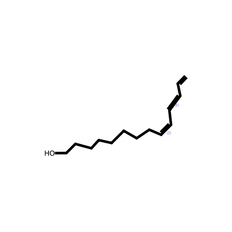 C=C/C=C/C=C\CCCCCCCCO